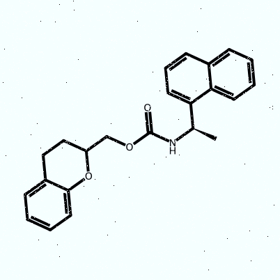 C[C@@H](NC(=O)OCC1CCc2ccccc2O1)c1cccc2ccccc12